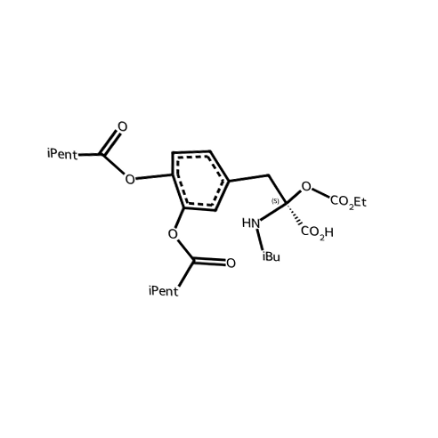 CCCC(C)C(=O)Oc1ccc(C[C@](NC(C)CC)(OC(=O)OCC)C(=O)O)cc1OC(=O)C(C)CCC